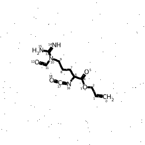 C=CCOC(=O)C(CCCN(C=O)C(=N)N)N=C=O